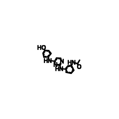 CC(=O)Nc1cccc(Nc2nccc(Nc3ccc(O)cc3)n2)c1